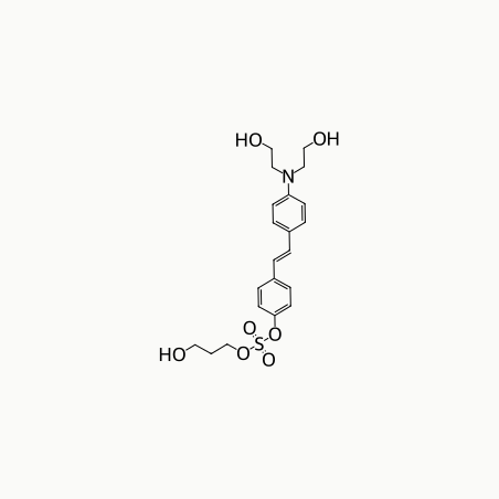 O=S(=O)(OCCCO)Oc1ccc(C=Cc2ccc(N(CCO)CCO)cc2)cc1